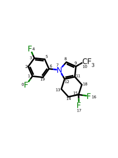 Fc1cc(F)cc(-n2cc(C(F)(F)F)c3c2CCC(F)(F)C3)c1